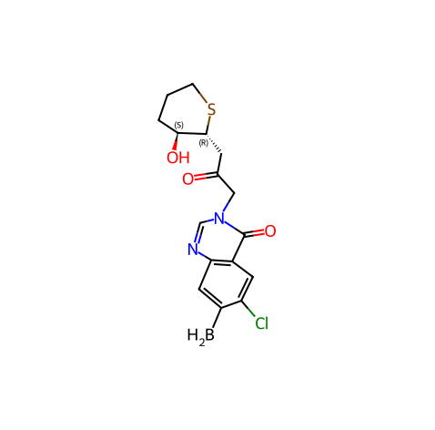 Bc1cc2ncn(CC(=O)C[C@H]3SCCC[C@@H]3O)c(=O)c2cc1Cl